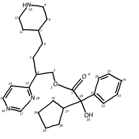 O=C(OCC(CCC1CCNCC1)c1ccncn1)C(O)(c1ccccc1)C1CCCC1